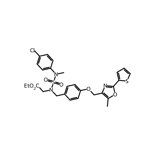 CCOC(=O)CN(Cc1ccc(OCc2nc(-c3cccs3)oc2C)cc1)S(=O)(=O)N(C)c1ccc(Cl)cc1